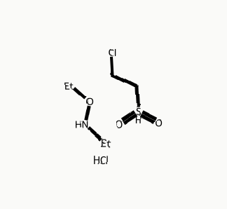 CCNOCC.Cl.O=[SH](=O)CCCl